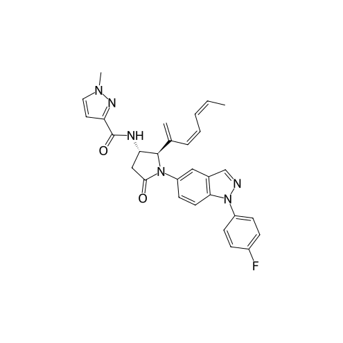 C=C(/C=C\C=C/C)[C@@H]1[C@@H](NC(=O)c2ccn(C)n2)CC(=O)N1c1ccc2c(cnn2-c2ccc(F)cc2)c1